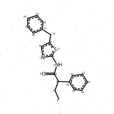 CCC(C(=O)Nc1ncc(Cc2ccccc2)s1)c1ccccc1